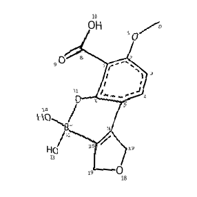 COc1ccc2c(c1C(=O)O)O[B-](O)(O)C1=C2COC1